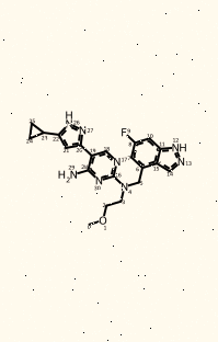 COCCN(Cc1cc(F)cc2[nH]ncc12)c1ncc(-c2cc(C3CC3)[nH]n2)c(N)n1